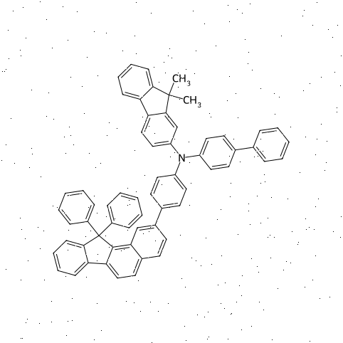 CC1(C)c2ccccc2-c2ccc(N(c3ccc(-c4ccccc4)cc3)c3ccc(-c4ccc5ccc6c(c5c4)C(c4ccccc4)(c4ccccc4)c4ccccc4-6)cc3)cc21